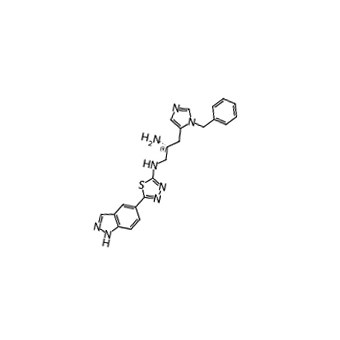 N[C@@H](CNc1nnc(-c2ccc3[nH]ncc3c2)s1)Cc1cncn1Cc1ccccc1